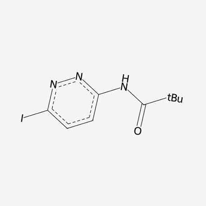 CC(C)(C)C(=O)Nc1ccc(I)nn1